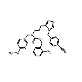 COc1ccc(SN(CCCc2cncn2Cc2ccc(C#N)cc2)C(=O)NCc2ccccc2C)cn1